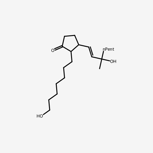 CCCCCC(C)(O)C=CC1CCC(=O)C1CCCCCCCO